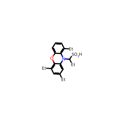 CCc1cc(CC)c2c(c1)N(C(CC)S(=O)(=O)O)c1c(CC)cccc1O2